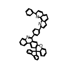 c1ccc(-c2ccc3ccc4ccc(-c5ccc(-c6nc7ccccc7c7cc8c(cc67)Oc6ccccc6C86c7ccccc7-c7ccccc76)cc5)nc4c3n2)cc1